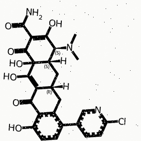 CN(C)[C@@H]1C(O)=C(C(N)=O)C(=O)C2(O)C(O)=C3C(=O)c4c(O)ccc(-c5ccc(Cl)nc5)c4C[C@H]3C[C@@H]12